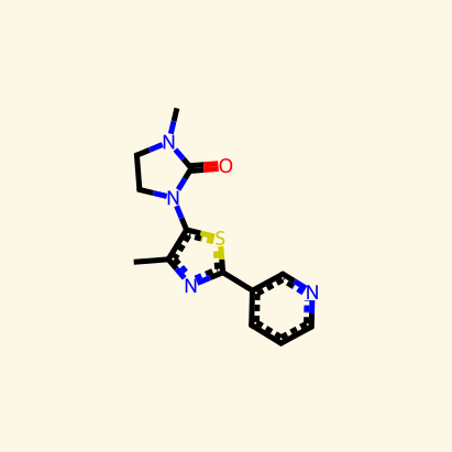 Cc1nc(-c2cccnc2)sc1N1CCN(C)C1=O